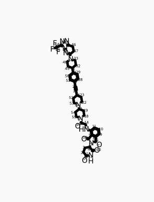 O=C1CCC(N2C(=O)c3cccc(NCC(=O)N4CCC(N5CCC(C#Cc6ccc(C7CCN(C8=Nn9c(nnc9C(F)(F)F)CC8)CC7)cc6)CC5)CC4)c3C2=O)C(=O)N1